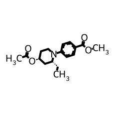 CC[C@@H]1C[C@H](OC(C)=O)CCN1c1ccc(C(=O)OC)cc1